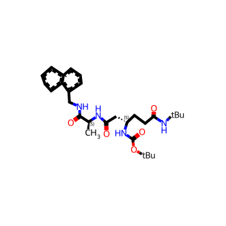 C[C@H](NC(=O)C[C@H](CCC(=O)NC(C)(C)C)NC(=O)OC(C)(C)C)C(=O)NCc1cccc2ccccc12